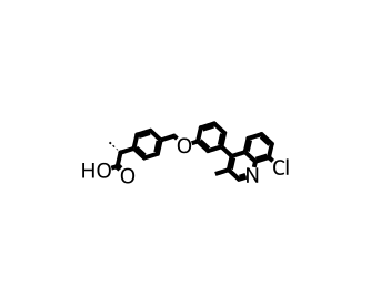 Cc1cnc2c(Cl)cccc2c1-c1cccc(OCc2ccc([C@@H](C)C(=O)O)cc2)c1